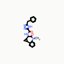 CN1C(=O)C(NC(=O)c2nnc(Cc3ccccc3)[nH]2)C2CC2c2ccccc21